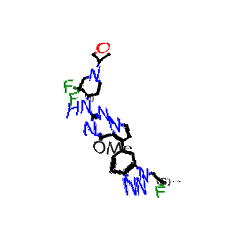 COc1nc(N[C@@H]2CCN(C3COC3)CC2(F)F)nn2ccc(-c3ccc4nnn(C[C@H](C)F)c4c3)c12